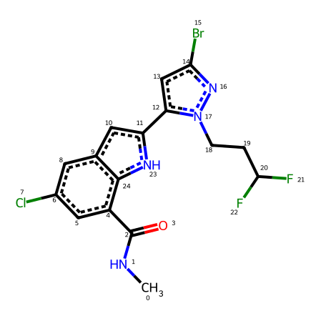 CNC(=O)c1cc(Cl)cc2cc(-c3cc(Br)nn3CCC(F)F)[nH]c12